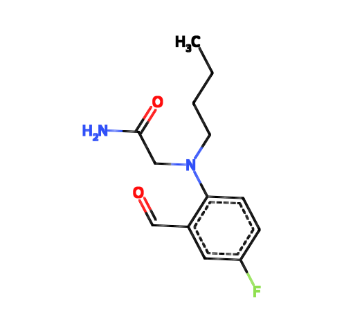 CCCCN(CC(N)=O)c1ccc(F)cc1C=O